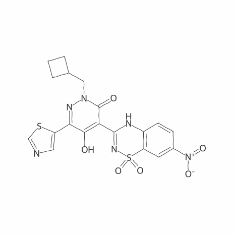 O=c1c(C2=NS(=O)(=O)c3cc([N+](=O)[O-])ccc3N2)c(O)c(-c2cncs2)nn1CC1CCC1